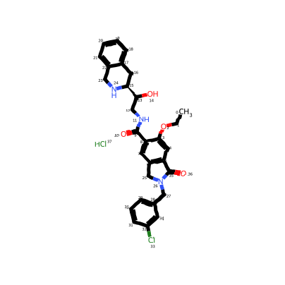 CCOc1cc2c(cc1C(=O)NCC(O)[C@@H]1Cc3ccccc3CN1)CN(Cc1cccc(Cl)c1)C2=O.Cl